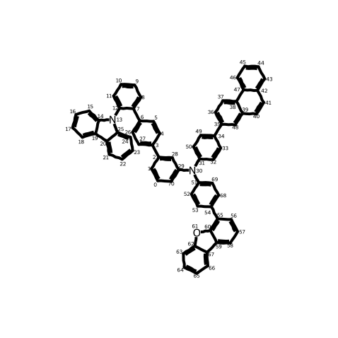 c1cc(-c2ccc(-c3ccccc3-n3c4ccccc4c4ccccc43)cc2)cc(N(c2ccc(-c3ccc4c(ccc5ccccc54)c3)cc2)c2ccc(-c3cccc4c3oc3ccccc34)cc2)c1